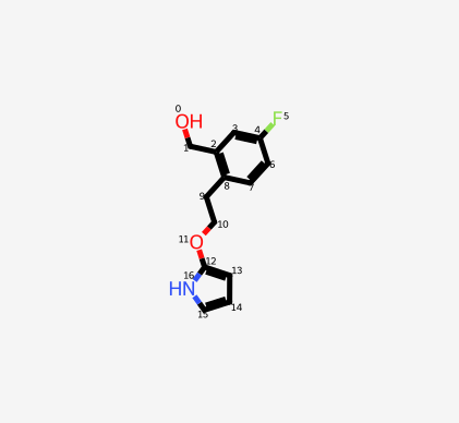 OCc1cc(F)ccc1CCOc1ccc[nH]1